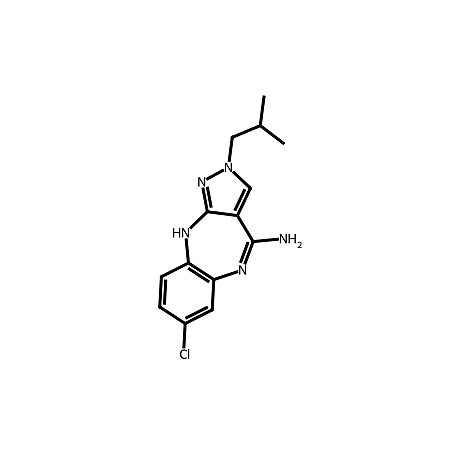 CC(C)Cn1cc2c(n1)Nc1ccc(Cl)cc1N=C2N